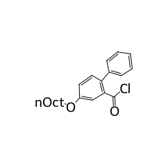 CCCCCCCCOc1ccc(-c2ccccc2)c(C(=O)Cl)c1